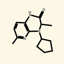 Cc1ccc2c(n1)N(C1CCCC1)C(C)C(=O)N2